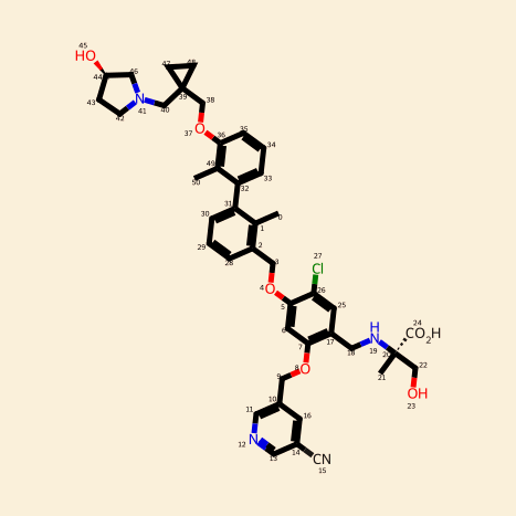 Cc1c(COc2cc(OCc3cncc(C#N)c3)c(CN[C@](C)(CO)C(=O)O)cc2Cl)cccc1-c1cccc(OCC2(CN3CC[C@@H](O)C3)CC2)c1C